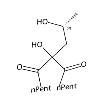 CCCCCC(=O)C(O)(C[C@@H](C)O)C(=O)CCCCC